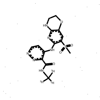 [2H]C([2H])([2H])NC(=O)c1nnccc1Nc1nc2c(cc1S(C)(=O)=O)OCCN2